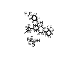 Cc1nc(-c2nc3c(c(Nc4ccc(C(F)(F)F)cc4)n2)CCN(c2ncccc2C(F)(F)F)CC3)cs1.O=C(O)C(F)(F)F